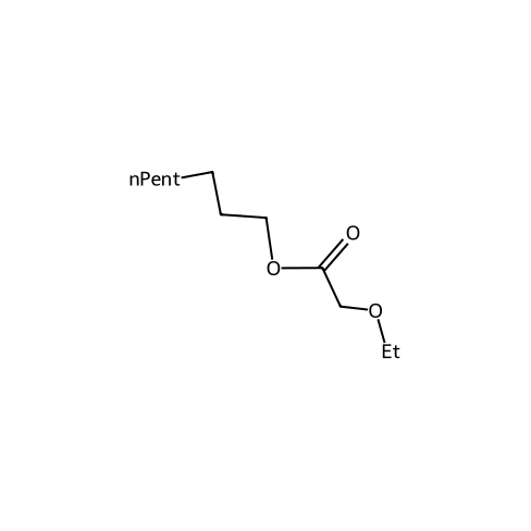 CCCCCCCCOC(=O)COCC